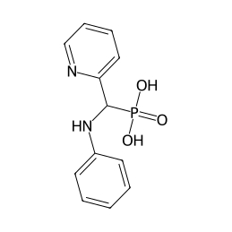 O=P(O)(O)C(Nc1ccccc1)c1ccccn1